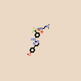 COc1ccc(-c2ccnc(Nc3ccc(S(=O)(=O)NCCN(C)C)c(C(F)(F)F)c3)n2)cc1